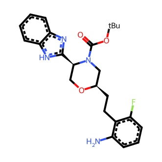 CC(C)(C)OC(=O)N1C[C@@H](CCc2c(N)cccc2F)OC[C@H]1c1nc2ccccc2[nH]1